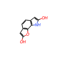 Oc1cc2ccc3cc(O)oc3c2[nH]1